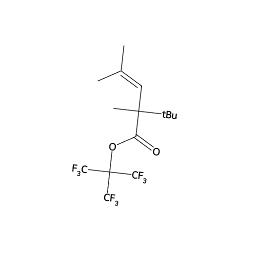 CC(C)=CC(C)(C(=O)OC(C(F)(F)F)(C(F)(F)F)C(F)(F)F)C(C)(C)C